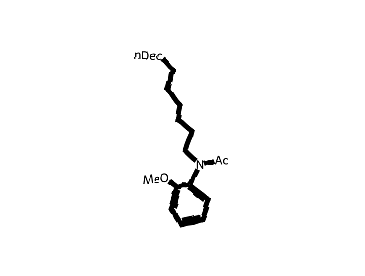 CCCCCCCCCCCCCCCCN(C(C)=O)c1ccccc1OC